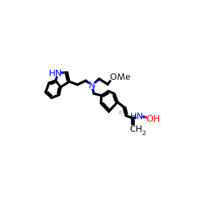 C=C(/C=C/c1ccc(CN(CCOC)CCc2c[nH]c3ccccc23)cc1)NO